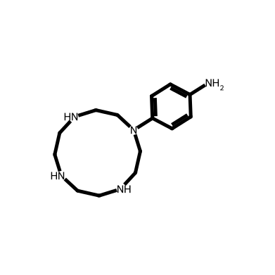 Nc1ccc(N2CCNCCNCCNCC2)cc1